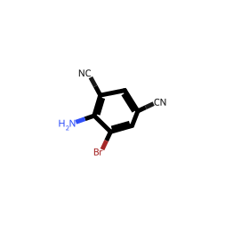 N#Cc1cc(Br)c(N)c(C#N)c1